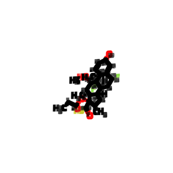 CCC(=O)O[C@]1(C(=O)S)[C@H](C)C[C@H]2[C@@H]3C[C@H](F)C4=CC(=O)C=C[C@]4(C)[C@@]3(F)[C@@H](O)C[C@@]21C.[KH]